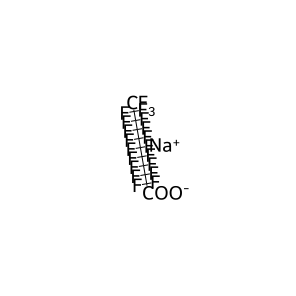 O=C([O-])C(F)(F)C(F)(F)C(F)(F)C(F)(F)C(F)(F)C(F)(F)C(F)(F)C(F)(F)C(F)(F)C(F)(F)F.[Na+]